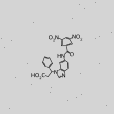 O=C(O)CC(c1ccccc1)n1cnc2ccc(NC(=O)c3cc([N+](=O)[O-])cc([N+](=O)[O-])c3)cc21